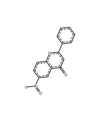 O=c1cc(-c2ccccc2)oc2ccc([N+](=O)[O-])cc12